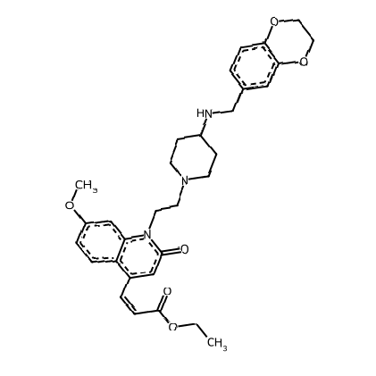 CCOC(=O)/C=C\c1cc(=O)n(CCN2CCC(NCc3ccc4c(c3)OCCO4)CC2)c2cc(OC)ccc12